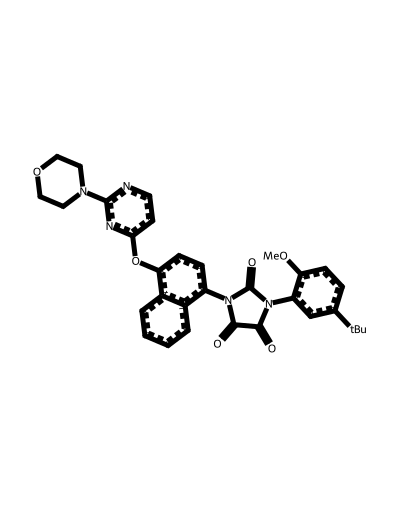 COc1ccc(C(C)(C)C)cc1N1C(=O)C(=O)N(c2ccc(Oc3ccnc(N4CCOCC4)n3)c3ccccc23)C1=O